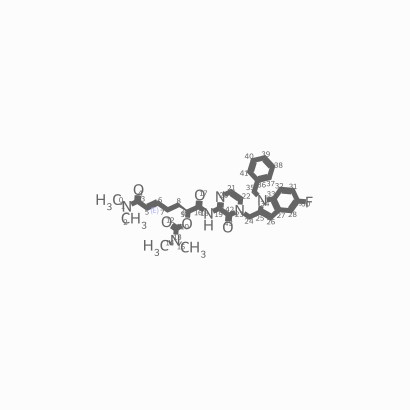 CN(C)C(=O)/C=C/CC[C@H](OC(=O)N(C)C)C(=O)Nc1nccn(Cc2cc3cc(F)ccc3n2Cc2ccccc2)c1=O